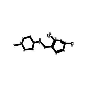 CN1CCC(NCc2ccc(Cl)cc2C(F)(F)F)CC1